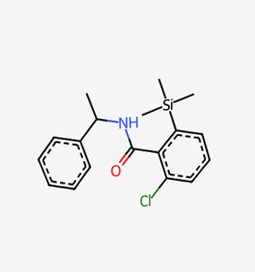 CC(NC(=O)c1c(Cl)cccc1[Si](C)(C)C)c1ccccc1